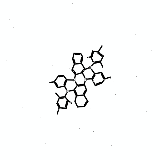 Cc1cc(C)c(B2c3cc(C)ccc3N3c4cc5ccccc5c5c4N(c4ccc(C)cc4B5c4c(C)cc(C)cc4C)c4cc5c(c2c43)CCC=C5)c(C)c1